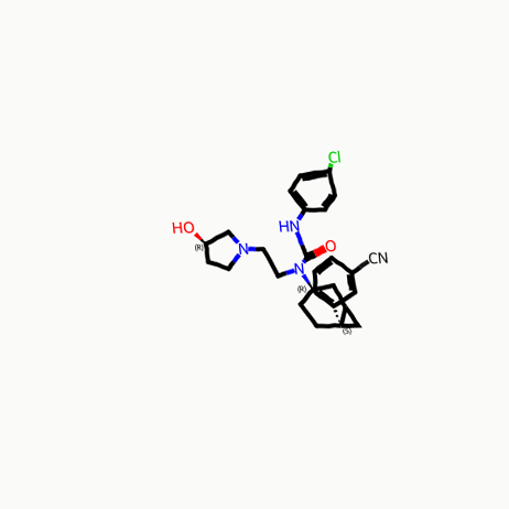 N#Cc1cccc([C@]23CC[C@@H](N(CCN4CC[C@@H](O)C4)C(=O)Nc4ccc(Cl)cc4)CC2C3)c1